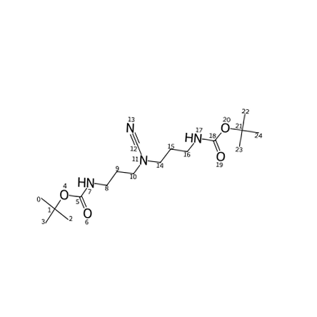 CC(C)(C)OC(=O)NCCCN(C#N)CCCNC(=O)OC(C)(C)C